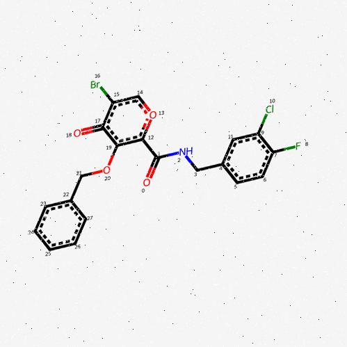 O=C(NCc1ccc(F)c(Cl)c1)c1occ(Br)c(=O)c1OCc1ccccc1